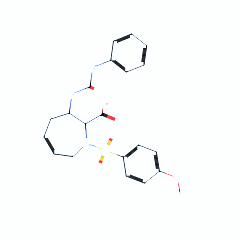 COc1ccc(S(=O)(=O)N2CC=CCC(NC(=O)Nc3ccccc3)C2C(=O)O)cc1